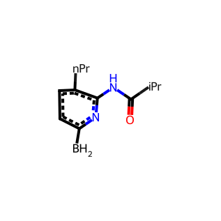 Bc1ccc(CCC)c(NC(=O)C(C)C)n1